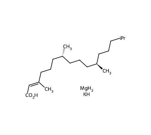 C/C(=C\C(=O)O)CCC[C@H](C)CCC[C@H](C)CCCC(C)C.[KH].[MgH2]